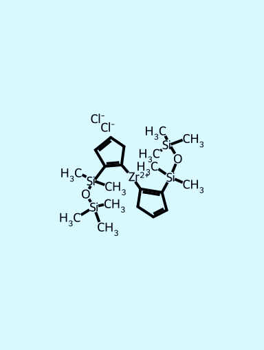 C[Si](C)(C)O[Si](C)(C)C1=[C]([Zr+2][C]2=C([Si](C)(C)O[Si](C)(C)C)C=CC2)CC=C1.[Cl-].[Cl-]